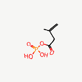 C=C(C)CC(=O)OP(=O)(O)O